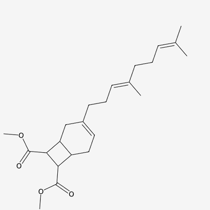 COC(=O)C1C2CC=C(CC/C=C(\C)CCC=C(C)C)CC2C1C(=O)OC